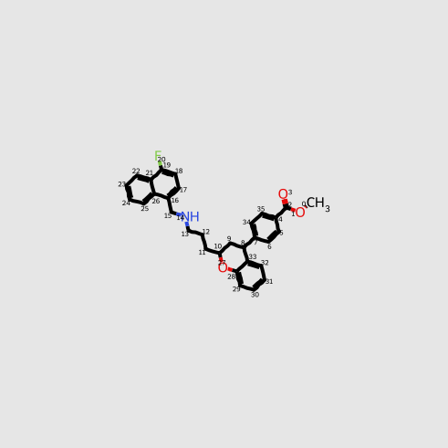 COC(=O)c1ccc(C2CC(CCCNCc3ccc(F)c4ccccc34)Oc3ccccc32)cc1